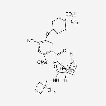 COc1cc(C#N)c(OC2CCC(C)(C(=O)O)CC2)cc1C(=O)NC1[C@@H](C(=O)NCC2(C)CCC2)C2C3[C@H]1[C@@H]23